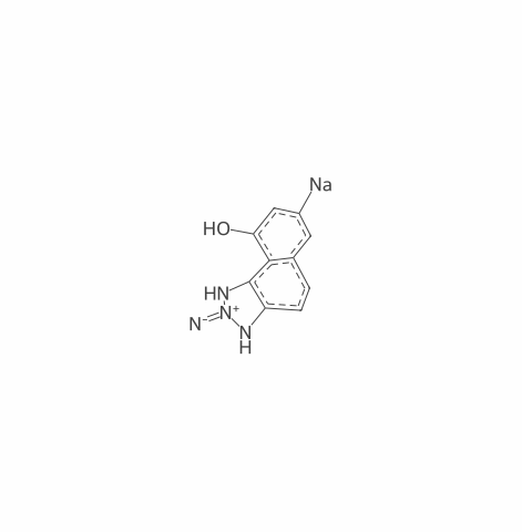 [N-]=[N+]1Nc2ccc3c[c]([Na])cc(O)c3c2N1